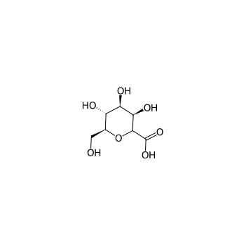 O=C(O)C1O[C@@H](CO)[C@H](O)[C@@H](O)[C@H]1O